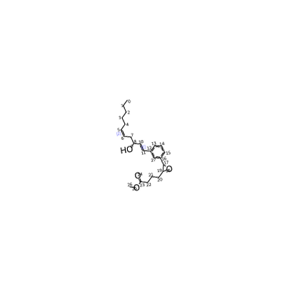 CCCCC/C=C\CC(O)/C=C/c1cccc(C2OC2CCCC(=O)OC)c1